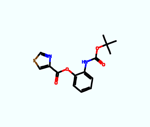 CC(C)(C)OC(=O)Nc1ccccc1OC(=O)c1cscn1